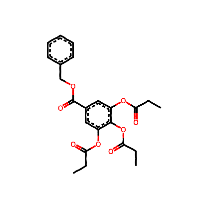 CCC(=O)Oc1cc(C(=O)OCc2ccccc2)cc(OC(=O)CC)c1OC(=O)CC